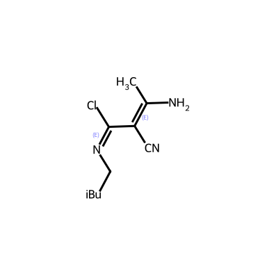 CCC(C)C/N=C(Cl)\C(C#N)=C(/C)N